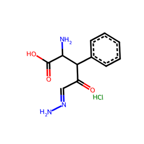 Cl.NN=CC(=O)C(c1ccccc1)C(N)C(=O)O